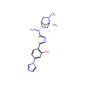 CN(c1nnc(-c2ccc(-n3ccnc3)cc2O)s1)[C@@H]1C2CN(C)[C@](C)(C2)[C@@H]1F